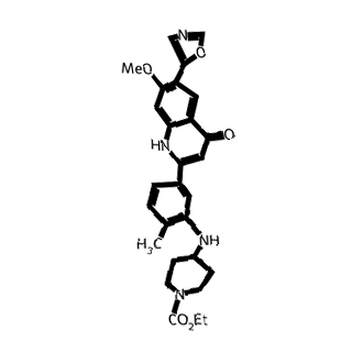 CCOC(=O)N1CCC(Nc2cc(-c3cc(=O)c4cc(-c5cnco5)c(OC)cc4[nH]3)ccc2C)CC1